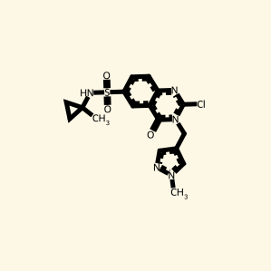 Cn1cc(Cn2c(Cl)nc3ccc(S(=O)(=O)NC4(C)CC4)cc3c2=O)cn1